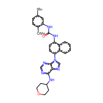 COc1ccc(C(C)(C)C)cc1NC(=O)Nc1ccc(-n2cnc3c(NC4CCOCC4)ncnc32)c2ccccc12